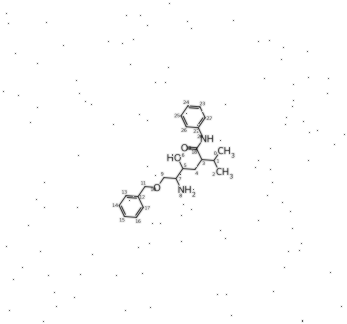 CC(C)C(CC(O)C(N)COCc1ccccc1)C(=O)Nc1ccccc1